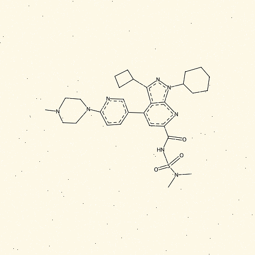 CN1CCN(c2ccc(-c3cc(C(=O)NS(=O)(=O)N(C)C)nc4c3c(C3CCC3)nn4C3CCCCC3)cn2)CC1